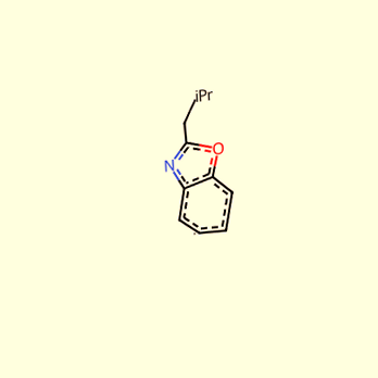 CC(C)Cc1nc2c[c]ccc2o1